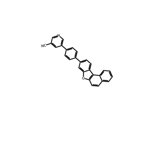 N#Cc1cncc(-c2ccc(-c3ccc4c(c3)oc3ccc5ccccc5c34)cc2)c1